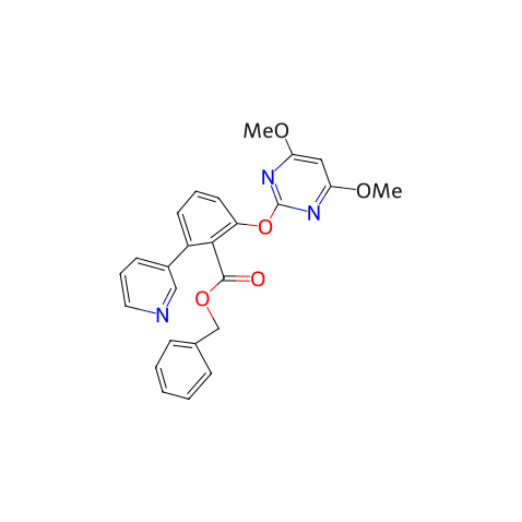 COc1cc(OC)nc(Oc2cccc(-c3cccnc3)c2C(=O)OCc2ccccc2)n1